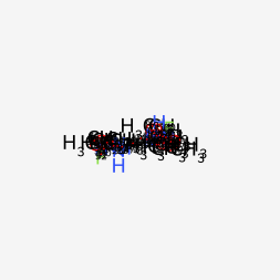 CC(C)OP(=O)(OC(C)C)n1cc(-c2ccc(-c3ccc(-c4c[nH]c([C@@H](NC(=O)[C@@H]5C[C@@H](F)CN5C(=O)OC(C)(C)C)C(C)(C)C)n4)cc3)cc2)nc1[C@@H](NC(=O)[C@@H]1C[C@@H](F)CN1C(=O)OC(C)(C)C)C(C)(C)C